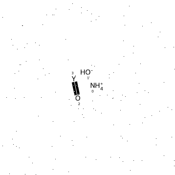 [NH4+].[OH-].[O]=[Y]